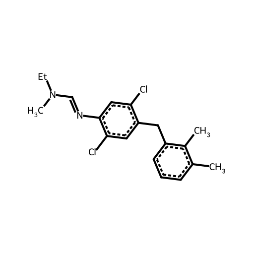 CCN(C)C=Nc1cc(Cl)c(Cc2cccc(C)c2C)cc1Cl